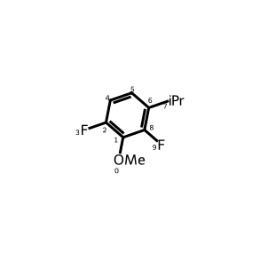 COc1c(F)ccc(C(C)C)c1F